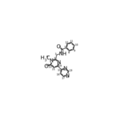 Cn1c(CNC(=O)c2ccccc2)nc(-c2ccncn2)cc1=O